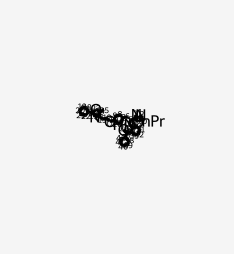 CCCc1nnc([C@H](Cc2ccc(OCCc3nc(-c4ccccc4)oc3C)cc2)Nc2ccccc2C(=O)c2ccccc2)o1